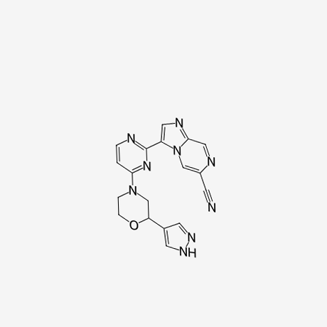 N#Cc1cn2c(-c3nccc(N4CCOC(c5cn[nH]c5)C4)n3)cnc2cn1